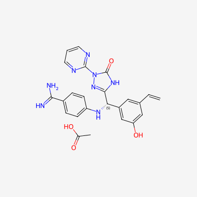 C=Cc1cc(O)cc([C@H](Nc2ccc(C(=N)N)cc2)c2nn(-c3ncccn3)c(=O)[nH]2)c1.CC(=O)O